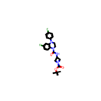 CC(C)(C)OC(=O)N1CC(NC(=O)N2CCN(c3ccc(F)cc3)c3cc(F)ccc32)C1